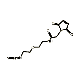 [N-]=[N+]=NCCOCCNC(=O)CN1C(=O)C=CC1=O